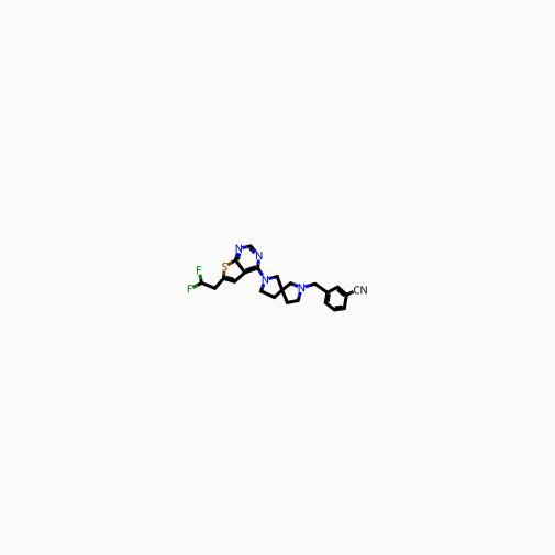 N#Cc1cccc(CN2CCC3(CCN(c4ncnc5sc(CC(F)F)cc45)C3)C2)c1